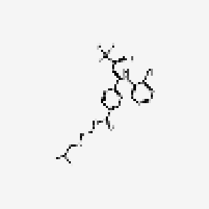 CC(C)CSCCOC(=O)c1ccc(/C(=C/C(=N)C(F)(F)F)Nc2ccccc2Cl)cc1